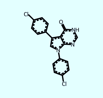 O=c1[nH]cnc2c1c(-c1ccc(Cl)cc1)cn2-c1ccc(Cl)cc1